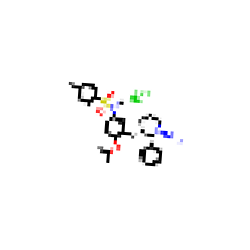 Cc1ccc(S(=O)(=O)N(C)c2ccc(OC(C)C)c(C[C@@H]3CCCN(N)[C@@H]3c3ccccc3)c2)cc1.Cl.Cl